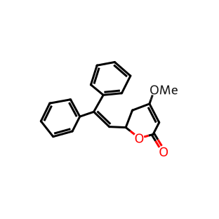 COC1=CC(=O)OC(C=C(c2ccccc2)c2ccccc2)C1